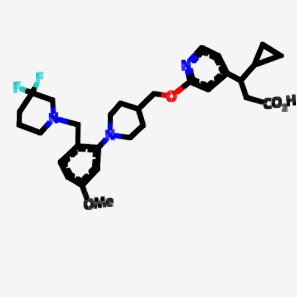 COc1ccc(CN2CCCC(F)(F)C2)c(N2CCC(COc3cc(C(CC(=O)O)C4CC4)ccn3)CC2)c1